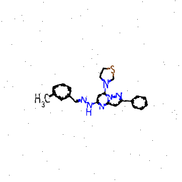 Cc1cccc(C=NNc2cc(N3CCSC3)n3nc(-c4ccccc4)cc3n2)c1